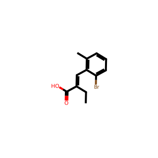 CC/C(=C\c1c(C)cccc1Br)C(=O)O